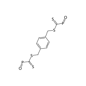 O=PC(=S)SCc1ccc(CSC(=S)P=O)cc1